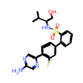 CC(C)C(CO)NS(=O)(=O)c1ccccc1-c1ccc(-c2cnc(N)cn2)c(F)c1